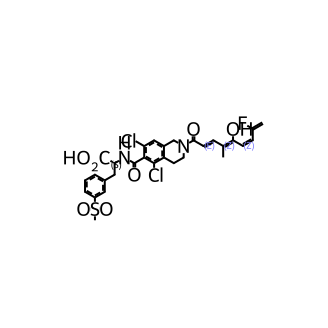 C=C(F)\C=C/C(O)=C(C)/C=C/C(=O)N1CCc2c(cc(Cl)c(C(=O)N[C@@H](Cc3cccc(S(C)(=O)=O)c3)C(=O)O)c2Cl)C1